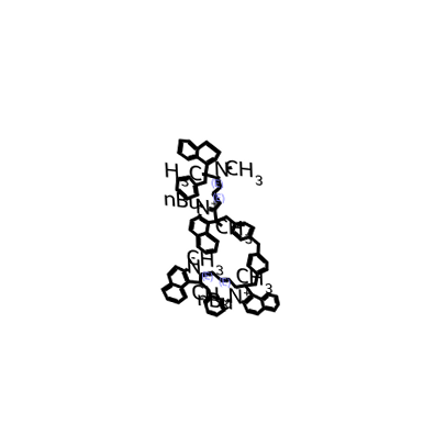 CCCC[N+]1=C(/C=C/C=C2/N(C)c3ccc4ccccc4c3C2(C)Cc2ccccc2)C(C)(Cc2ccc(Cc3ccc(CC4(C)C(/C=C/C=C5/N(C)c6ccc7ccccc7c6C5(C)Cc5ccccc5)=[N+](CCCC)c5ccc6ccccc6c54)cc3)cc2)c2c1ccc1ccccc21